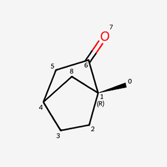 C[C@]12CCC(CC1=O)C2